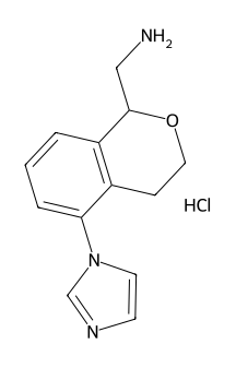 Cl.NCC1OCCc2c1cccc2-n1ccnc1